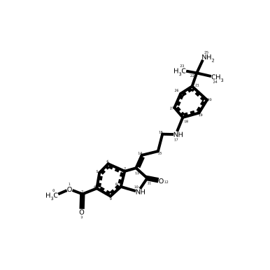 COC(=O)c1ccc2c(c1)NC(=O)C2=CCCNc1ccc(C(C)(C)N)cc1